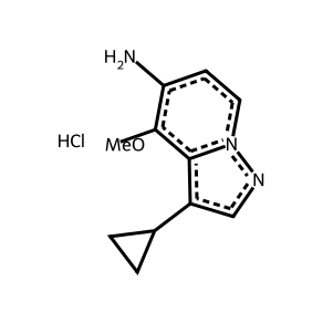 COc1c(N)ccn2ncc(C3CC3)c12.Cl